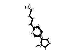 CN1CCCC1c1ccc(CCCCO)nc1